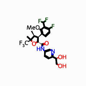 COc1c([C@H]2[C@H](C(=O)Nc3ccc([C@@H](O)CO)nc3)O[C@@](C)(C(F)(F)F)[C@H]2C)ccc(F)c1C(F)F